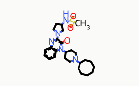 CS(=O)(=O)NC1CCN(c2nc3ccccc3n(C3CCN(C4CCCCCCC4)CC3)c2=O)C1